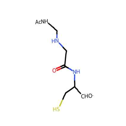 CC(=O)NCNCC(=O)NC([C]=O)CS